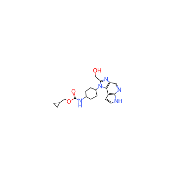 O=C(NC1CCC(n2c(CO)nc3cnc4[nH]ccc4c32)CC1)OCC1CC1